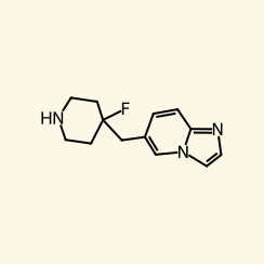 FC1(Cc2ccc3nccn3c2)CCNCC1